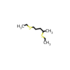 CCSCCCC(C)SCC